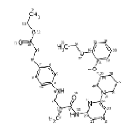 C=C(CNc1ccc(CCC(=O)OCC)cc1)C(=O)Nc1cncc(N2CCC[C@@H](Oc3ccccc3OCC)C2)n1